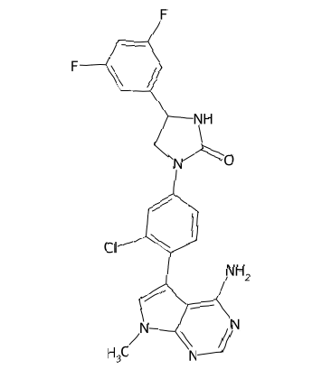 Cn1cc(-c2ccc(N3CC(c4cc(F)cc(F)c4)NC3=O)cc2Cl)c2c(N)ncnc21